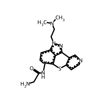 CN(C)CCn1nc2c3c(c(NC(=O)CN)ccc31)Sc1ccncc1-2